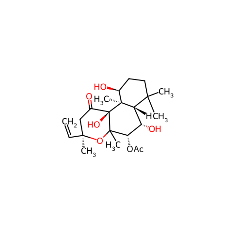 C=C[C@@]1(C)CC(=O)[C@@]2(O)C(C)(O1)[C@@H](OC(C)=O)[C@@H](O)[C@H]1C(C)(C)CC[C@H](O)[C@@]12C